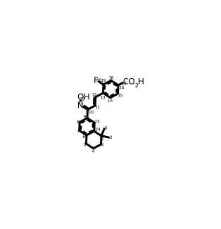 CC1(C)CCCc2ccc(C(C=Cc3ccc(C(=O)O)cc3F)=NO)cc21